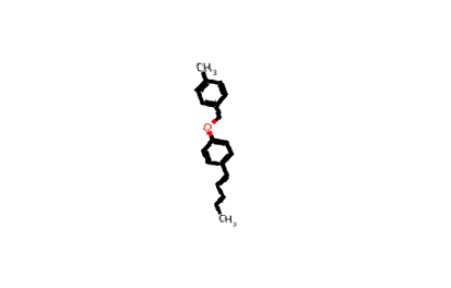 CCC/C=C/c1ccc(OCc2ccc(C)cc2)cc1